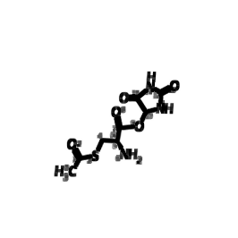 CC(=O)SC[C@H](N)C(=O)OC1NC(=O)NC1=O